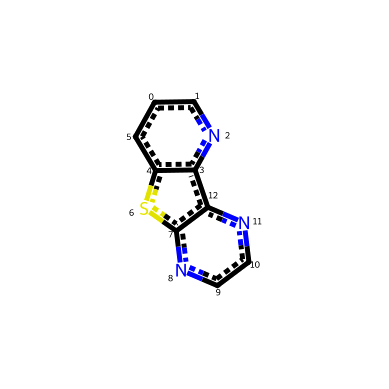 c1cnc2c(c1)sc1nccnc12